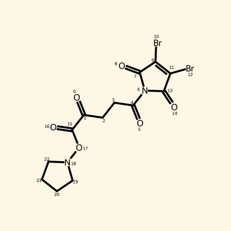 O=C(CCC(=O)N1C(=O)C(Br)=C(Br)C1=O)C(=O)ON1CCCC1